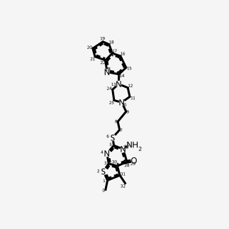 Cc1sc2nc(SCCCN3CCN(c4ccc5ccccc5n4)CC3)n(N)c(=O)c2c1C